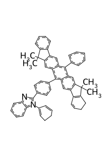 CC1(C)C2=C(C=CCC2)c2cc3c(-c4ccc(-c5nc6ccccc6n5C5=CCCC=C5)cc4)c4cc5c(cc4c(-c4ccccc4)c3cc21)-c1ccccc1C5(C)C